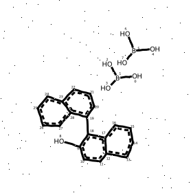 OB(O)O.OB(O)O.Oc1ccc2ccccc2c1-c1cccc2ccccc12